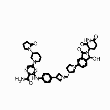 NC(=O)c1ncc(N2CCC[C@H](N3CCCC3=O)C2)nc1Nc1ccc(C2CN(C[C@@H]3CCN(c4ccc5c(c4)C(=O)N(C4CCC(=O)NC4=O)C5O)C3)C2)cc1